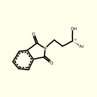 CC(=O)[C@@H](O)CCN1C(=O)c2ccccc2C1=O